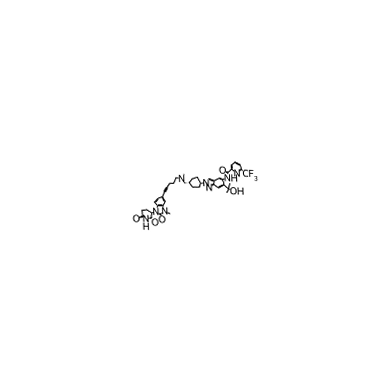 CN(CCCC#Cc1ccc2c(c1)n(C)c(=O)n2C1CCC(=O)NC1=O)C[C@H]1CC[C@H](n2cc3cc(NC(=O)c4cccc(C(F)(F)F)n4)c(C(C)(C)O)cc3n2)CC1